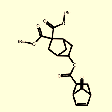 CC(C)(C)OC(=O)C1(C(=O)OC(C)(C)C)CC2CC1CC2OC(=O)C1CC2C=CC1C2=O